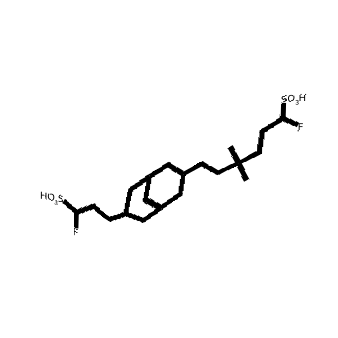 CC(C)(CCC1CC2CC(CCC(F)S(=O)(=O)O)CC(C1)C2)CCC(F)S(=O)(=O)O